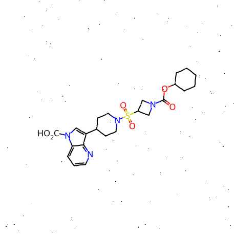 O=C(OC1CCCCC1)N1CC(S(=O)(=O)N2CCC(c3cn(C(=O)O)c4cccnc34)CC2)C1